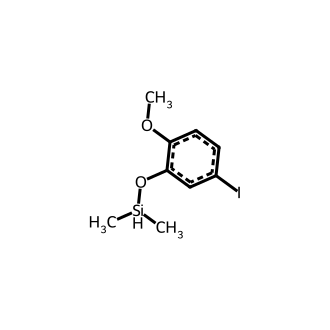 COc1ccc(I)cc1O[SiH](C)C